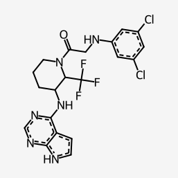 O=C(CNc1cc(Cl)cc(Cl)c1)N1CCCC(Nc2ncnc3[nH]ccc23)C1C(F)(F)F